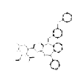 C=CC[C@H](C(=O)O)C(CC(C)C)C(=O)NC1NC(c2ccccc2)c2ccccc2N(Cc2cccc(Oc3ccccc3)c2)C1=O